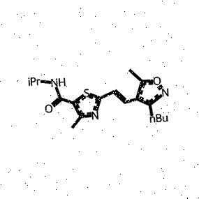 CCCCc1noc(C)c1/C=C/c1nc(C)c(C(=O)NC(C)C)s1